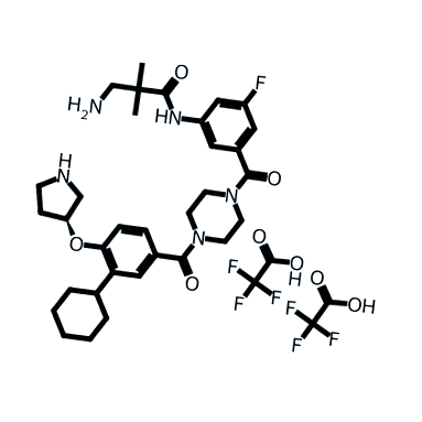 CC(C)(CN)C(=O)Nc1cc(F)cc(C(=O)N2CCN(C(=O)c3ccc(O[C@H]4CCNC4)c(C4CCCCC4)c3)CC2)c1.O=C(O)C(F)(F)F.O=C(O)C(F)(F)F